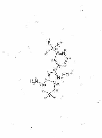 CC1(C)C[C@H](N)c2cc(-c3ccnc(C(F)(F)F)c3)nn2C1.Cl